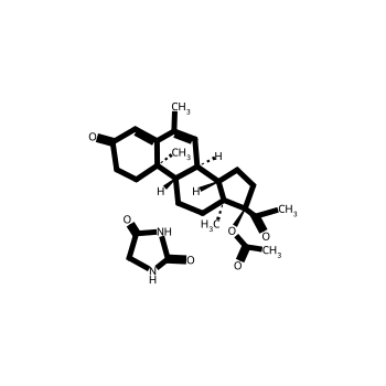 CC(=O)O[C@]1(C(C)=O)CC[C@H]2[C@@H]3C=C(C)C4=CC(=O)CC[C@]4(C)[C@H]3CC[C@@]21C.O=C1CNC(=O)N1